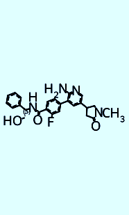 CN1CC(c2cnc(N)c(-c3ccc(C(=O)N[C@H](CO)c4ccccc4)c(F)c3)c2)CC1=O